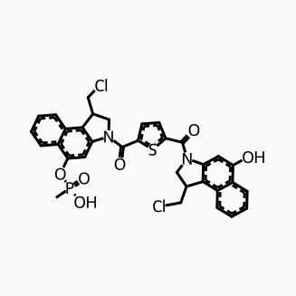 CP(=O)(O)Oc1cc2c(c3ccccc13)C(CCl)CN2C(=O)c1ccc(C(=O)N2CC(CCl)c3c2cc(O)c2ccccc32)s1